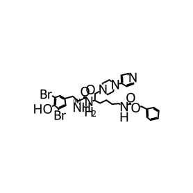 N[C@H](Cc1cc(Br)c(O)c(Br)c1)C(=O)NC(CCCCNC(=O)OCc1ccccc1)C(=O)N1CCN(c2ccncc2)CC1